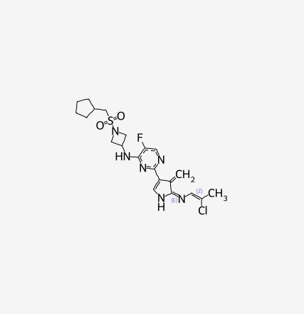 C=C1C(c2ncc(F)c(NC3CN(S(=O)(=O)CC4CCCC4)C3)n2)=CN/C1=N/C=C(/C)Cl